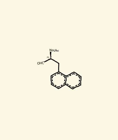 CC(=O)N[C@H](C=O)Cc1cccc2ccccc12